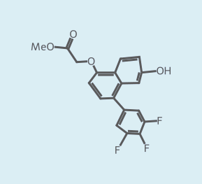 COC(=O)COc1ccc(-c2cc(F)c(F)c(F)c2)c2cc(O)ccc12